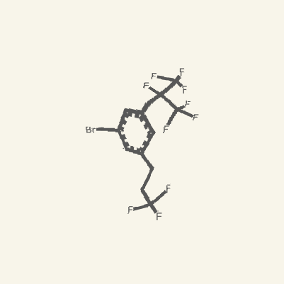 FC(F)(F)CCc1[c]c(Br)cc(C(F)(C(F)(F)F)C(F)(F)F)c1